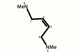 CNC/C=C\CNC